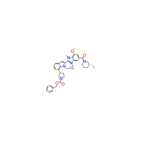 CC[C@@H]1CCCN(C(=O)c2cc(OC)c3c(c2)nc(-c2cc4cccc(C5CCN(C(=O)OCc6ccccc6)C5)c4n2CC2CC2)n3C)C1